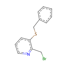 BrCc1ncccc1SCc1ccccc1